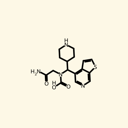 NC(=O)CN(C(=O)O)C(c1cncc2sccc12)C1CCNCC1